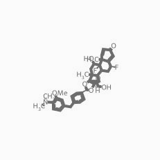 COc1cc(Cc2ccc([C@@H]3O[C@@H]4CC5C6C[C@H](F)C7=CC(=O)C=CC7(C)[C@@]6(F)C(O)CC5(C)C4(C(=O)CO)O3)cc2)ccc1N(C)C